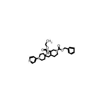 CCOC(=O)NC1(CC2CCN(C(=O)OCc3ccccc3)CC2=O)CCN(c2ccncc2)CC1